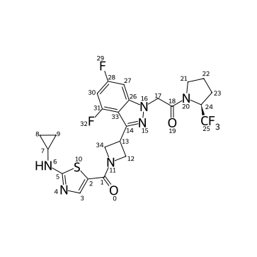 O=C(c1cnc(NC2CC2)s1)N1CC(c2nn(CC(=O)N3CCC[C@H]3C(F)(F)F)c3cc(F)cc(F)c23)C1